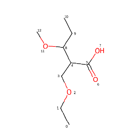 CCOCC(C(=O)O)C(CC)OC